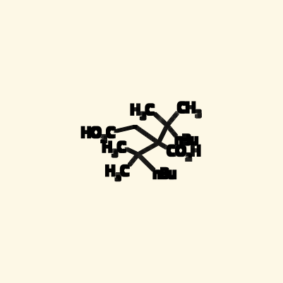 CCCCC(C)(C)C(CC(=O)O)(C(=O)O)C(C)(C)CCCC